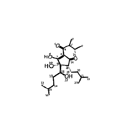 CCC(C)C(=O)C1=C(O)[C@](O)(C(O)CCC(C)C)[C@@H](CCC(C)C)C1=O